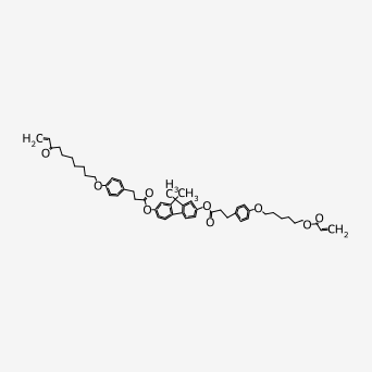 C=CC(=O)CCCCCCCOc1ccc(CCC(=O)Oc2ccc3c(c2)C(C)(C)c2cc(OC(=O)CCc4ccc(OCCCCCCOC(=O)C=C)cc4)ccc2-3)cc1